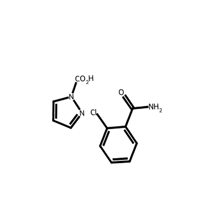 NC(=O)c1ccccc1Cl.O=C(O)n1cccn1